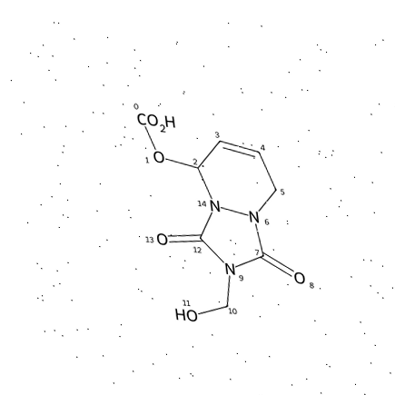 O=C(O)OC1C=CCn2c(=O)n(CO)c(=O)n21